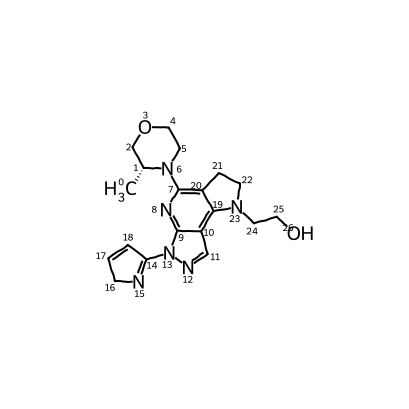 C[C@@H]1COCCN1c1nc2c(cnn2C2=NCC=C2)c2c1CCN2CCO